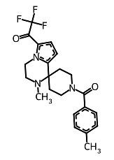 Cc1ccc(C(=O)N2CCC3(CC2)c2ccc(C(=O)C(F)(F)F)n2CCN3C)cc1